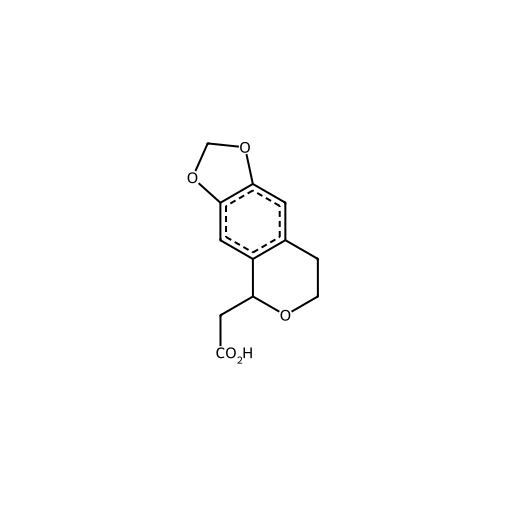 O=C(O)CC1OCCc2cc3c(cc21)OCO3